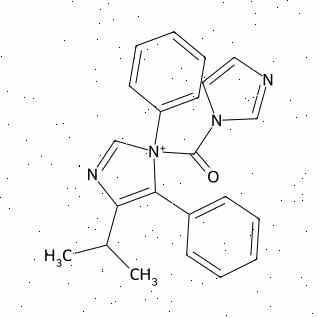 CC(C)C1=C(c2ccccc2)[N+](C(=O)n2ccnc2)(c2ccccc2)C=N1